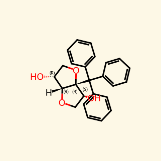 O[C@@H]1CO[C@@]2(C(c3ccccc3)(c3ccccc3)c3ccccc3)[C@@H]1OC[C@@H]2O